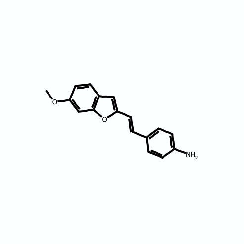 COc1ccc2cc(C=Cc3ccc(N)cc3)oc2c1